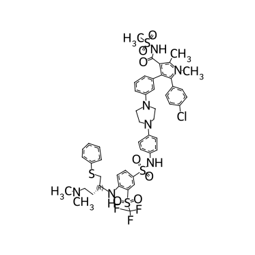 Cc1c(C(=O)NS(C)(=O)=O)c(-c2cccc(N3CCN(c4ccc(NS(=O)(=O)c5ccc(N[C@H](CCN(C)C)CSc6ccccc6)c(S(=O)(=O)C(F)(F)F)c5)cc4)CC3)c2)c(-c2ccc(Cl)cc2)n1C